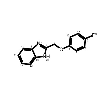 Fc1ccc(OCc2nc3ccccc3[nH]2)cc1